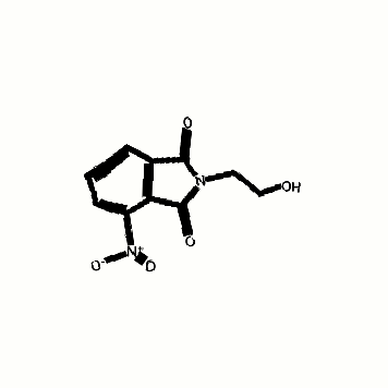 O=C1c2cccc([N+](=O)[O-])c2C(=O)N1CCO